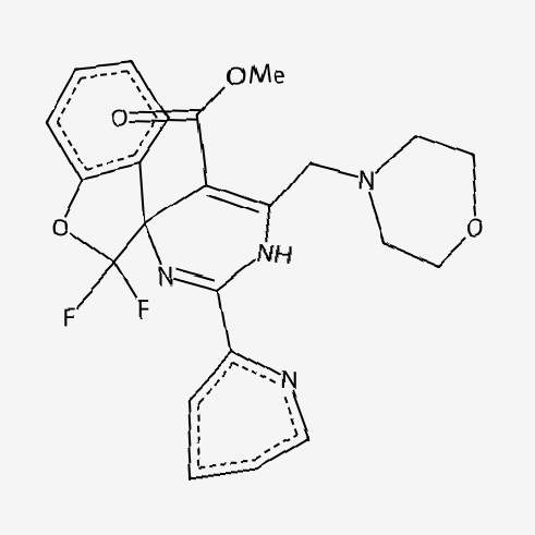 COC(=O)C1=C(CN2CCOCC2)NC(c2ccccn2)=NC12c1ccccc1OC2(F)F